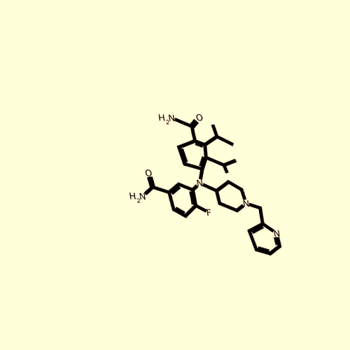 CC(C)c1c(C(N)=O)ccc(N(c2cc(C(N)=O)ccc2F)C2CCN(Cc3ccccn3)CC2)c1C(C)C